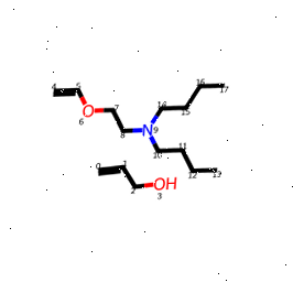 C=CCO.C=COCCN(CCCC)CCCC